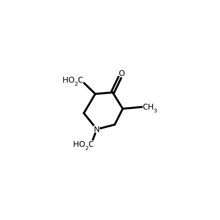 CC1CN(C(=O)O)CC(C(=O)O)C1=O